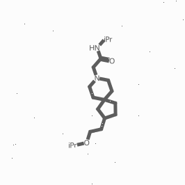 CC(C)NC(=O)CN1CCC2(CCC(CCOC(C)C)C2)CC1